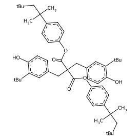 CC(C)(C)CC(C)(C)c1ccc(OC(=O)C(Cc2ccc(O)c(C(C)(C)C)c2)(Cc2ccc(O)c(C(C)(C)C)c2)C(=O)Oc2ccc(C(C)(C)CC(C)(C)C)cc2)cc1